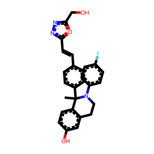 CC1(c2ccc(/C=C/c3nnc(CO)o3)cc2)c2ccc(O)cc2CCN1c1ccc(F)cc1